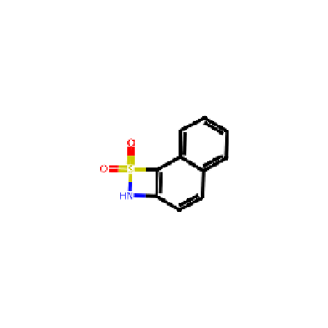 O=S1(=O)Nc2ccc3ccccc3c21